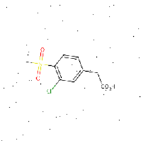 CS(=O)(=O)c1ccc(CC(=O)O)cc1Cl